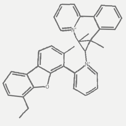 CCc1cccc2c1oc1c(-c3cccc[n+]3C3C4(C)c5ccccc5-c5cccc[n+]5C34C)c(C)ccc12